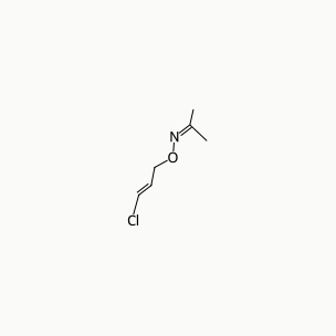 CC(C)=NOC/C=C/Cl